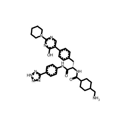 NCC1CCC(C(=O)N[C@@H](Cc2ccc(-c3cnc(N4CCCCC4)nc3O)cc2)C(=O)Nc2ccc(-c3nn[nH]n3)cc2)CC1